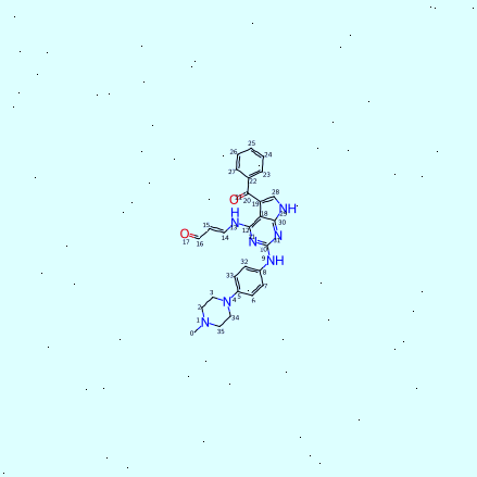 CN1CCN(c2ccc(Nc3nc(NC=CC=O)c4c(C(=O)c5ccccc5)c[nH]c4n3)cc2)CC1